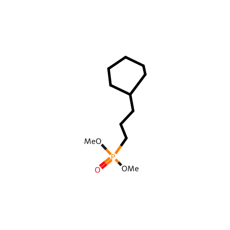 COP(=O)(CCCC1CCCCC1)OC